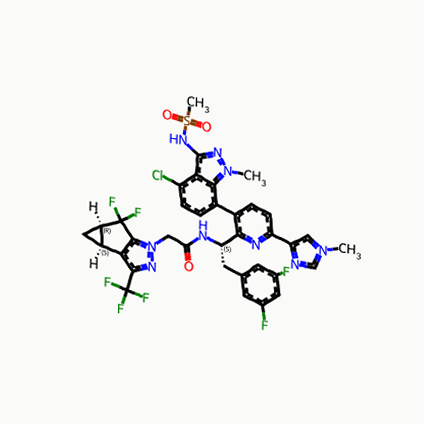 Cn1cnc(-c2ccc(-c3ccc(Cl)c4c(NS(C)(=O)=O)nn(C)c34)c([C@H](Cc3cc(F)cc(F)c3)NC(=O)Cn3nc(C(F)(F)F)c4c3C(F)(F)[C@@H]3C[C@H]43)n2)c1